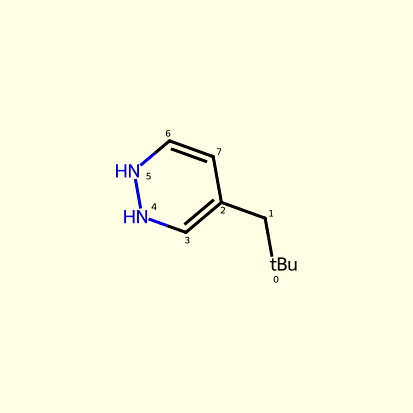 CC(C)(C)CC1=CNNC=C1